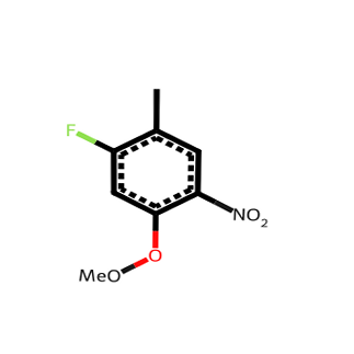 COOc1cc(F)c(C)cc1[N+](=O)[O-]